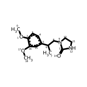 COc1ccc(C(C)CN2CCNC2=O)cc1OC